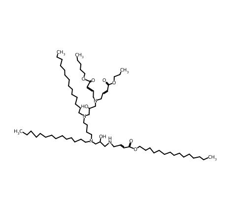 CCCCCCCCCCCCCCCOC(=O)/C=C/CNCC(O)CN(CCCCCCCCCCCCCC)CCCCN(CCCCCCCCCCCCCC)CC(O)CN(C/C=C/C(=O)OCCC)C/C=C/C(=O)OCCCCC